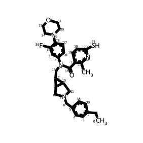 CCc1ccc(CN2CC3C(C2)C3CN(C(=O)c2ccc(S)nc2C)c2ccc(N3CCOCC3)c(F)c2)cc1